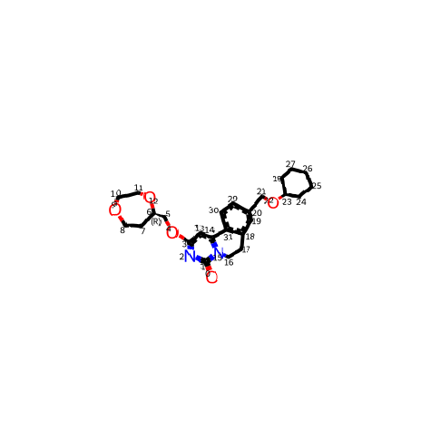 O=c1nc(OC[C@H]2CCOCCO2)cc2n1CCc1cc(COC3CCCCC3)ccc1-2